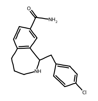 NC(=O)c1ccc2c(c1)C(Cc1ccc(Cl)cc1)NCCC2